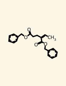 CC=C(CCC(=O)OCc1ccccc1)C(=O)OCc1ccccc1